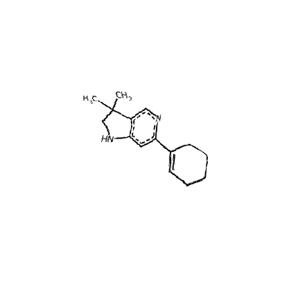 CC1(C)CNc2cc(C3=CCCCC3)ncc21